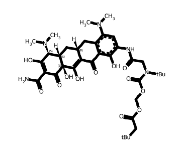 CN(C)c1cc(NC(=O)CN(C(=O)OCOC(=O)CC(C)(C)C)C(C)(C)C)c(O)c2c1C[C@H]1C[C@H]3[C@H](N(C)C)C(O)=C(C(N)=O)C(=O)[C@@]3(O)C(O)=C1C2=O